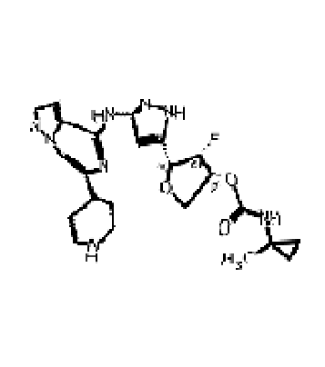 CC1(NC(=O)O[C@@H]2CO[C@H](c3cc(Nc4nc(C5CCNCC5)cn5nccc45)n[nH]3)[C@@H]2F)CC1